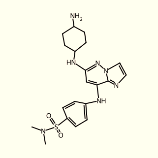 CN(C)S(=O)(=O)c1ccc(Nc2cc(NC3CCC(N)CC3)nn3ccnc23)cc1